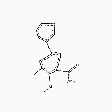 COc1c(C)cc(-c2ccccc2)cc1C(N)=O